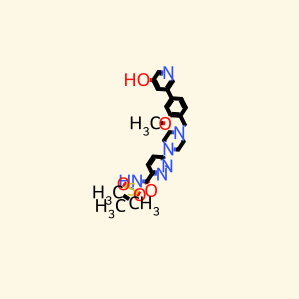 COc1cc(-c2cncc(O)c2)ccc1CN1CCN(c2ccc(C(=O)NS(=O)(=O)C(C)(C)C)nn2)CC1